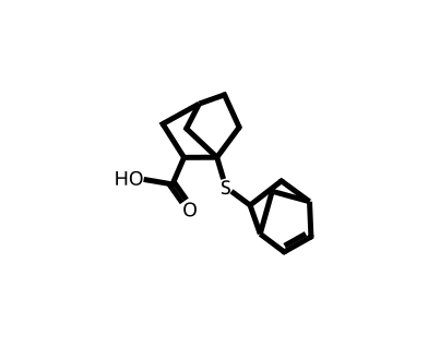 O=C(O)C1CC2CCC1(SC1CC3C=CC1C3)C2